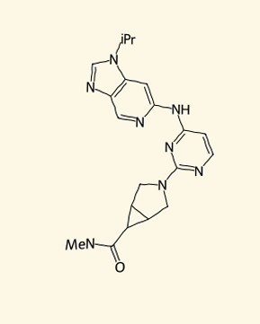 CNC(=O)C1C2CN(c3nccc(Nc4cc5c(cn4)ncn5C(C)C)n3)CC21